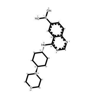 OB(O)c1ccc2ncnc(N[C@H]3CC[C@H](N4CCOCC4)CC3)c2c1